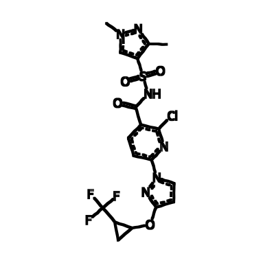 Cc1nn(C)cc1S(=O)(=O)NC(=O)c1ccc(-n2ccc(OC3CC3C(F)(F)F)n2)nc1Cl